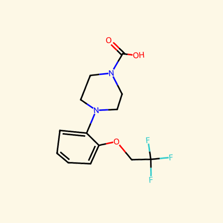 O=C(O)N1CCN(c2ccccc2OCC(F)(F)F)CC1